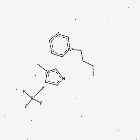 CCCC[n+]1ccccc1.Cn1ccnc1.F[B-](F)(F)F